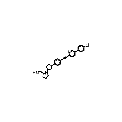 OCC1CCCN1[C@H]1CCC(c2ccc(C#Cc3ccc(-c4ccc(Cl)cc4)cn3)cc2)C1